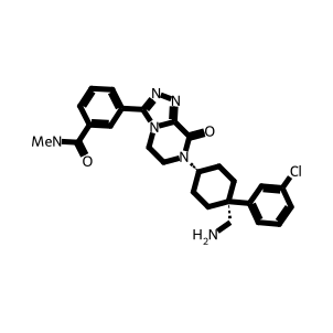 CNC(=O)c1cccc(-c2nnc3n2CCN([C@H]2CC[C@](CN)(c4cccc(Cl)c4)CC2)C3=O)c1